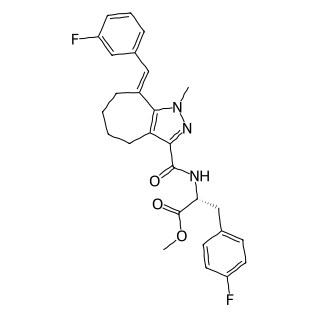 COC(=O)[C@@H](Cc1ccc(F)cc1)NC(=O)c1nn(C)c2c1CCCC/C2=C\c1cccc(F)c1